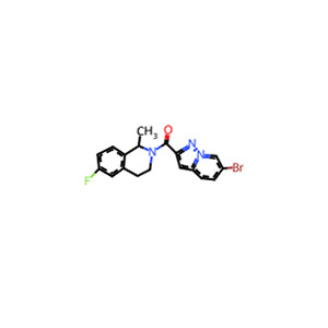 CC1c2ccc(F)cc2CCN1C(=O)c1cc2ccc(Br)cn2n1